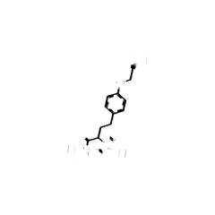 C#CCOc1ccc(CCC(C(N)=O)S(C)(=O)=O)cc1